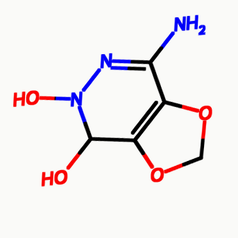 NC1=NN(O)C(O)C2=C1OCO2